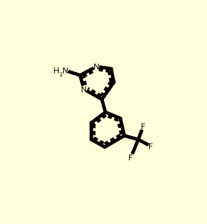 Nc1nccc(-c2cccc(C(F)(F)F)c2)n1